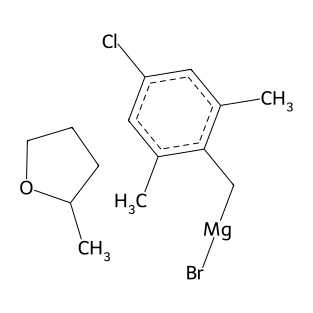 CC1CCCO1.Cc1cc(Cl)cc(C)c1[CH2][Mg][Br]